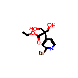 CCOC(=O)C(CO)(CO)c1ccnc(Br)c1